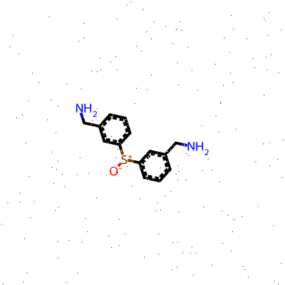 NCc1cccc([S+]([O-])c2cccc(CN)c2)c1